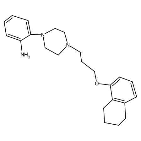 Nc1ccccc1N1CCN(CCCOc2cccc3c2CCCC3)CC1